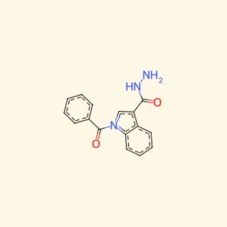 NNC(=O)c1cn(C(=O)c2ccccc2)c2ccccc12